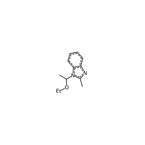 CCOC(C)n1c(C)nc2ccccc21